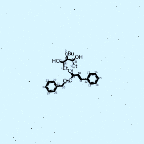 CCCCC([C@H](O)CC)[C@@H](O)CC.O=C(C=Cc1ccccc1)OOCc1ccccc1